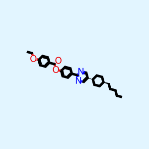 CCCCC[C@H]1CC[C@H](c2cnc(-c3ccc(OC(=O)c4ccc(OCC)cc4)cc3)nc2)CC1